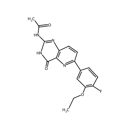 CCOc1cc(-c2ccc3nc(NC(C)=O)[nH]c(=O)c3n2)ccc1F